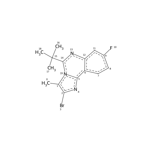 Cc1c(Br)nc2c3ccc(F)cc3nc(C(C)(C)C)n12